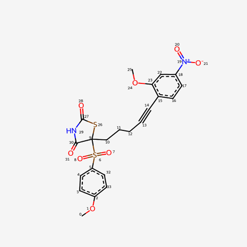 COc1ccc(S(=O)(=O)C2(CCCC#Cc3ccc([N+](=O)[O-])cc3OC)SC(=O)NC2=O)cc1